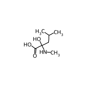 CNC(O)(CC(C)C)C(=O)O